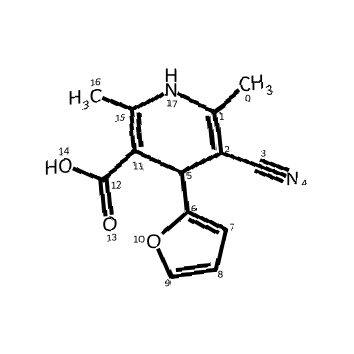 CC1=C(C#N)C(c2ccco2)C(C(=O)O)=C(C)N1